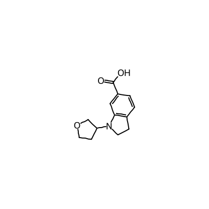 O=C(O)c1ccc2c(c1)N(C1CCOC1)CC2